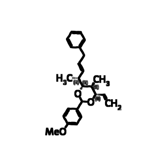 C=C[C@H]1OC(c2ccc(OC)cc2)O[C@H]([C@H](C)C=CCc2ccccc2)[C@H]1C